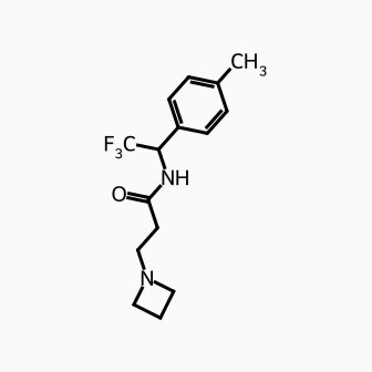 Cc1ccc(C(NC(=O)CCN2CCC2)C(F)(F)F)cc1